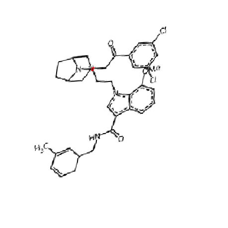 COc1cccc2c(C(=O)NCC3C=C(C)C=CC3)cn(CCCN3C4CCC3CN(CC(=O)c3cc(Cl)cc(Cl)c3)C4)c12